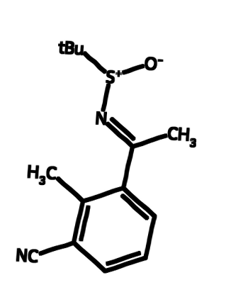 CC(=N[S+]([O-])C(C)(C)C)c1cccc(C#N)c1C